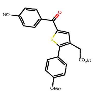 CCOC(=O)Cc1cc(C(=O)c2ccc(C#N)cc2)sc1-c1ccc(OC)cc1